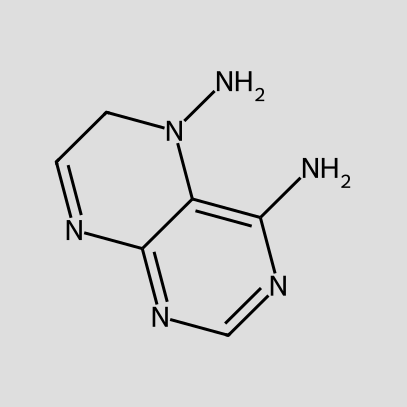 Nc1ncnc2c1N(N)CC=N2